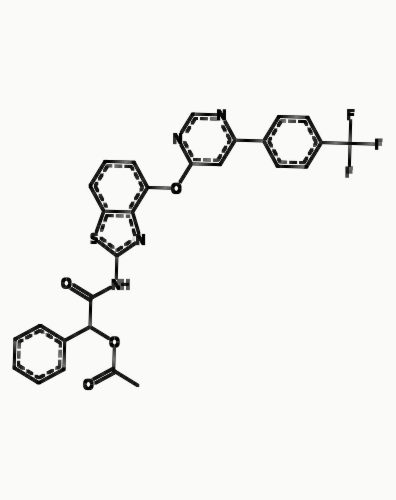 CC(=O)OC(C(=O)Nc1nc2c(Oc3cc(-c4ccc(C(F)(F)F)cc4)ncn3)cccc2s1)c1ccccc1